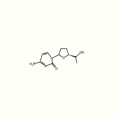 CC(O)[C@@H]1CCC(n2ccc(N)nc2=O)O1